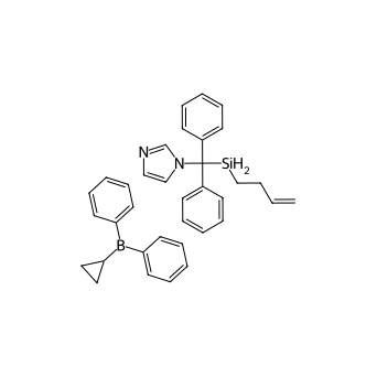 C=CCC[SiH2]C(c1ccccc1)(c1ccccc1)n1ccnc1.c1ccc(B(c2ccccc2)C2CC2)cc1